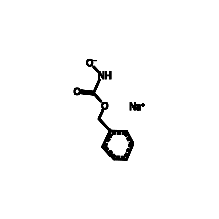 O=C(N[O-])OCc1ccccc1.[Na+]